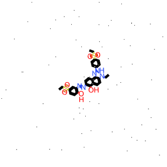 CCNc1ccc2c(O)c(/N=N/c3cc(S(=O)(=O)CC)ccc3O)ccc2c1/N=N/c1ccc(S(=O)(=O)CC)cc1